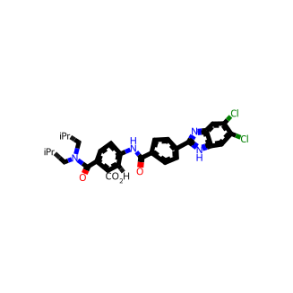 CC(C)CN(CC(C)C)C(=O)c1ccc(NC(=O)c2ccc(-c3nc4cc(Cl)c(Cl)cc4[nH]3)cc2)c(C(=O)O)c1